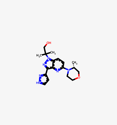 C[C@@H]1COCCN1c1ccc2c(n1)c(-c1cc[nH]n1)nn2C(C)(C)CO